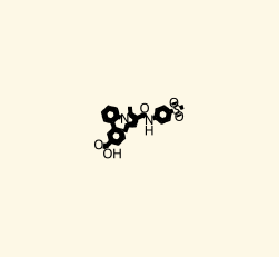 Cc1cc(C(=O)Nc2ccc(S(C)(=O)=O)cc2)c(C)n1-c1ccccc1-c1cccc(C(=O)O)c1